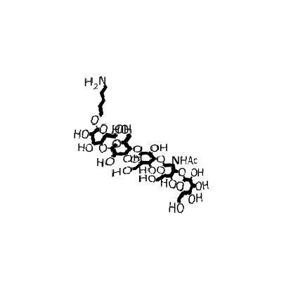 CC(=O)N[C@H]1C(O[C@@H]2OC(CO)[C@H](O)C(O)[C@@H]2O)[C@@H](O)C(CO)O[C@H]1O[C@@H]1C(O)[C@@H](O[C@H]2C(CO)O[C@@H](O[C@@H]3C(CO)O[C@@H](OCCCCCN)C(O)C3O)C(O)C2O)OC(CO)[C@@H]1O